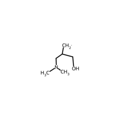 [CH2]C(CO)CN(C)C